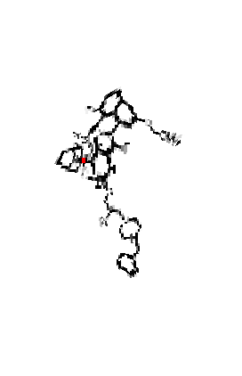 COCOc1cc(-c2ncc3c(N4CC5CCC(C4)N5C(=O)OC(C)(C)C)nc(OC[C@@H](CN4CCN(Cc5ccccc5)CC4)C(C)C)nc3c2F)c2c(C#C[Si](C(C)C)(C(C)C)C(C)C)c(F)ccc2c1